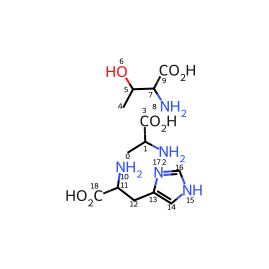 CC(N)C(=O)O.CC(O)C(N)C(=O)O.NC(Cc1c[nH]cn1)C(=O)O